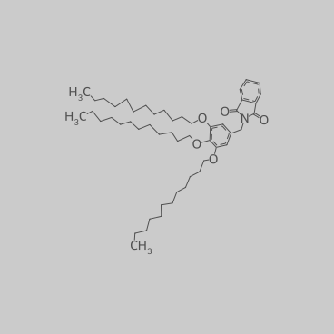 CCCCCCCCCCCCOc1cc(CN2C(=O)c3ccccc3C2=O)cc(OCCCCCCCCCCCC)c1OCCCCCCCCCCCC